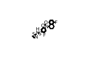 O=c1oc2cc(SNc3nccs3)c(F)cc2n1C1CCCc2c(F)cccc21